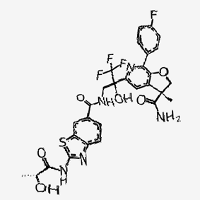 C[C@@H](O)C(=O)Nc1nc2ccc(C(=O)NCC(O)(c3cc4c(c(-c5ccc(F)cc5)n3)OC[C@]4(C)C(N)=O)C(F)(F)F)cc2s1